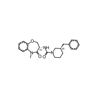 CN1C(=O)[C@@H](NC(=O)N2CCC[C@H](Cc3ccccc3)C2)COc2ccccc21